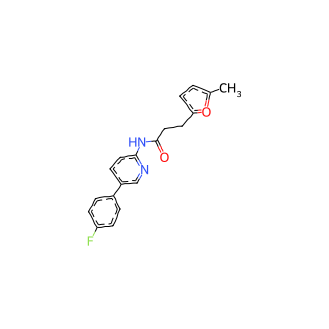 Cc1ccc(CCC(=O)Nc2ccc(-c3ccc(F)cc3)cn2)o1